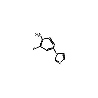 Nc1ccc(-n2ccnc2)cc1F